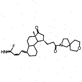 C[C@]12CCC3/C(=C/C=C\C(=N)F)CCCC3C1[C@H](CCC(=O)N1CCC3(CCOCC3)C1)CC2=O